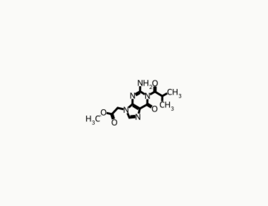 COC(=O)Cn1cnc2c(=O)n(C(=O)C(C)C)c(N)nc21